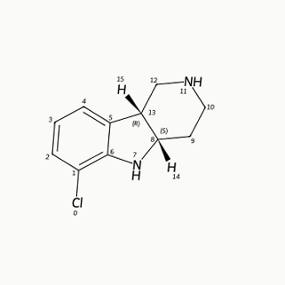 Clc1cccc2c1N[C@H]1CCNC[C@@H]21